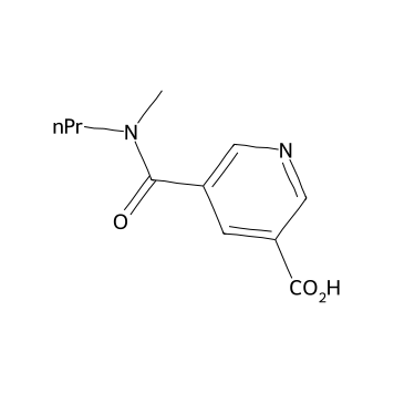 CCCN(C)C(=O)c1cncc(C(=O)O)c1